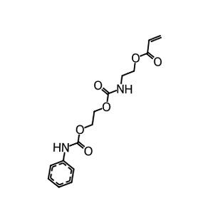 C=CC(=O)OCCNC(=O)OCCOC(=O)Nc1ccccc1